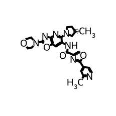 Cc1cc(-c2nc(C(=O)Nc3cc4oc(N5CCOCC5)nc4nc3N3CC[C@H](C)C3)co2)ccn1